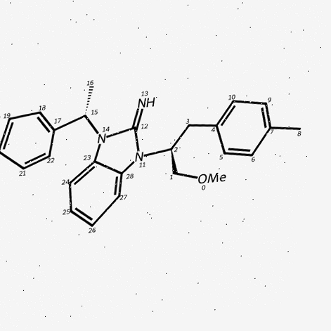 COC[C@H](Cc1ccc(C)cc1)n1c(=N)n([C@@H](C)c2ccccc2)c2ccccc21